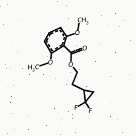 COc1cccc(OC)c1C(=O)OCCC1CC1(F)F